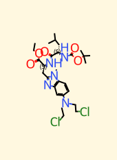 CCOC(=O)[C@H](Cc1nc2cc(N(CCCl)CCCl)ccc2n1C)NC(=O)[C@H](CC(C)C)NC(=O)OC(C)(C)C